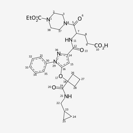 CCOC(=O)N1CCN(C(=O)C(CCC(=O)O)NC(=O)c2cc(OC3(C(=O)NCC4CC4)CCC3)n(-c3ccccc3)n2)CC1